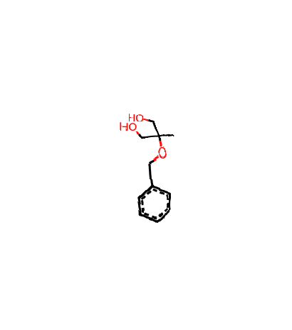 CC(CO)(CO)OCc1ccccc1